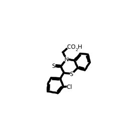 O=C(O)CN1C(=S)C(c2ccccc2Cl)Sc2ccccc21